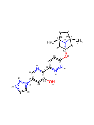 C[C@]12CC[C@](C)(C[C@@H](Oc3ccc(-c4ncc(-n5ccnn5)cc4O)nn3)C1)N2